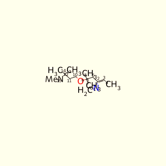 C=N/C(=C\C)CC(C)(C)OCCC(C)(C)NC